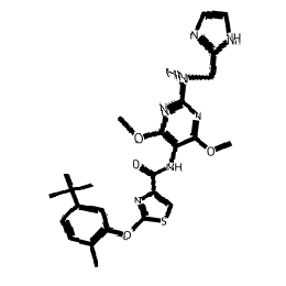 COc1nc(NCc2ncc[nH]2)nc(OC)c1NC(=O)c1csc(Oc2cc(C(C)(C)C)ccc2C)n1